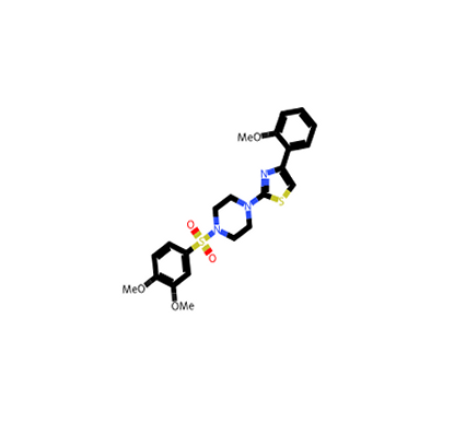 COc1ccc(S(=O)(=O)N2CCN(c3nc(-c4ccccc4OC)cs3)CC2)cc1OC